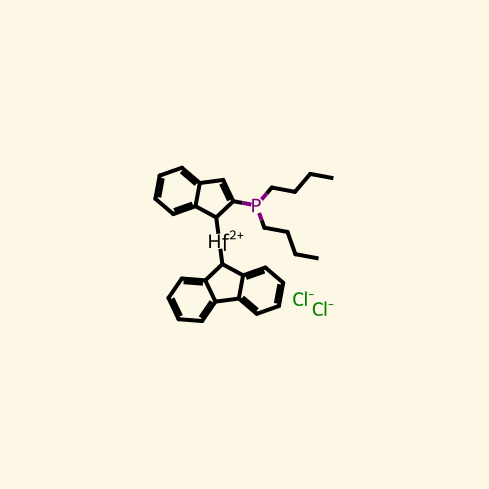 CCCCP(CCCC)C1=Cc2ccccc2[CH]1[Hf+2][CH]1c2ccccc2-c2ccccc21.[Cl-].[Cl-]